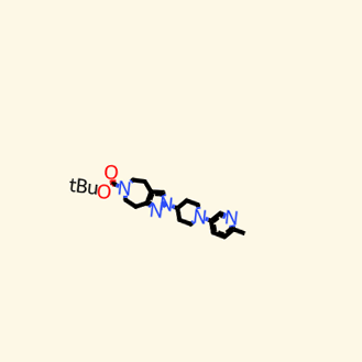 Cc1ccc(N2CCC(n3cc4c(n3)CCN(C(=O)OC(C)(C)C)CC4)CC2)cn1